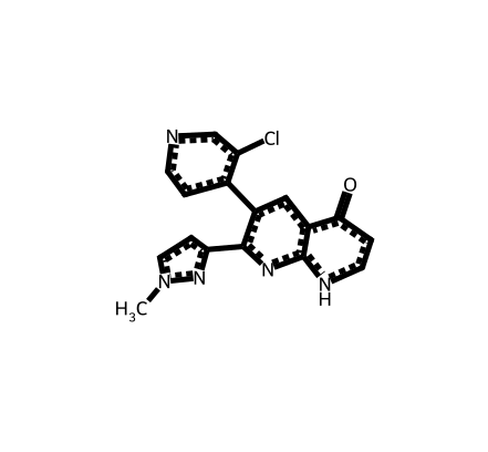 Cn1ccc(-c2nc3[nH]ccc(=O)c3cc2-c2ccncc2Cl)n1